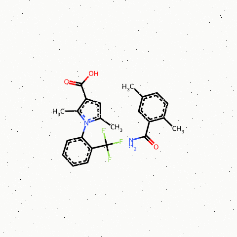 Cc1cc(C(=O)O)c(C)n1-c1ccccc1C(F)(F)F.Cc1ccc(C)c(C(N)=O)c1